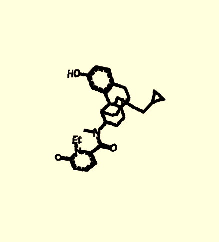 CCn1c(C(=O)N(C)C2CCC34CCC2C32CCN(CC3CC3)C4Cc3ccc(O)cc32)cccc1=O